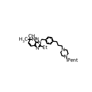 CCCC(C)N1CCN(CCCc2ccc(Cn3c(CC)nc4c3NC(C)(C)C=C4)cc2)CC1